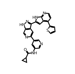 O=C(Nc1cncc(-c2cc3c(-c4cc5c(-c6cccs6)ccnc5[nH]4)n[nH]c3cn2)c1)C1CC1